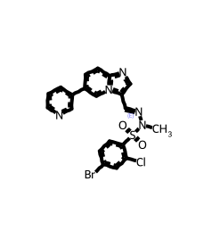 CN(/N=C/c1cnc2ccc(-c3cccnc3)cn12)S(=O)(=O)c1ccc(Br)cc1Cl